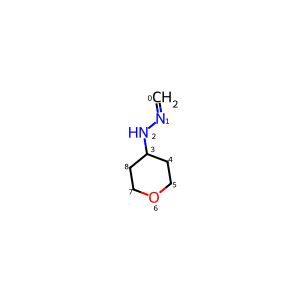 C=NNC1CCOCC1